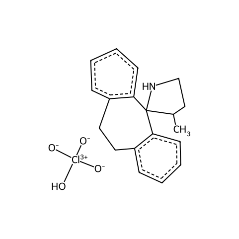 CC1CCNC12c1ccccc1CCc1ccccc12.[O-][Cl+3]([O-])([O-])O